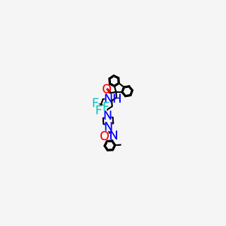 Cc1cccc2oc(N3CCN(CCCCC4(C(=O)NCC(F)(F)F)c5ccccc5-c5ccccc54)CC3)nc12